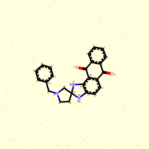 O=C1c2ccccc2C(=O)c2c1ccc1c2NC2(CCN(Cc3ccccc3)C2)N1